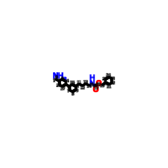 NCc1ccc(-c2cccc(CCCCNC(=O)OCc3ccccc3)c2)cc1